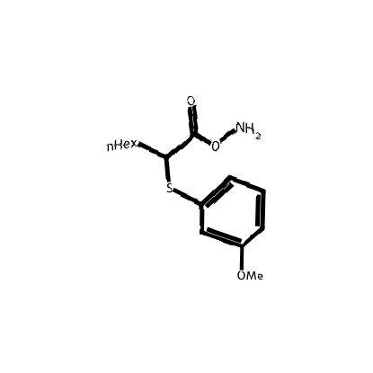 CCCCCCC(Sc1cccc(OC)c1)C(=O)ON